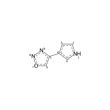 [c]1[nH]ccc1-c1conn1